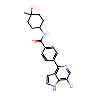 CC1(O)CCC(NC(=O)c2ccc(-c3ncc(Cl)c4[nH]ccc34)cc2)CC1